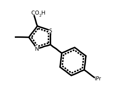 Cc1nc(-c2ccc(C(C)C)cc2)sc1C(=O)O